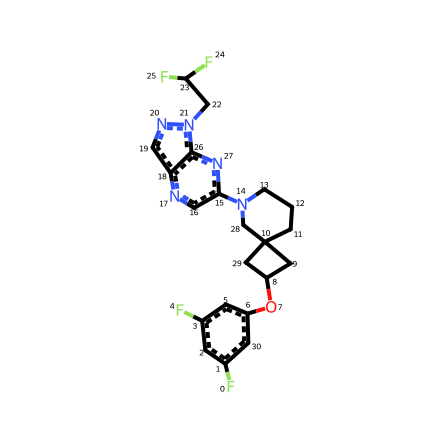 Fc1cc(F)cc(OC2CC3(CCCN(c4cnc5cnn(CC(F)F)c5n4)C3)C2)c1